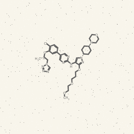 COCCOCCCOc1nn([C@H]2CC[C@H](N3CCOCC3)CC2)cc1Nc1ncc(-c2ccc(Cl)c(O[C@@H](C)Cn3cnnn3)c2)cn1